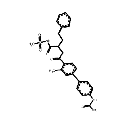 CCCCC(=O)Nc1ccc(-c2ccc(C(=O)CC(CCc3ccccc3)C(=O)NS(C)(=O)=O)c(C)c2)cc1